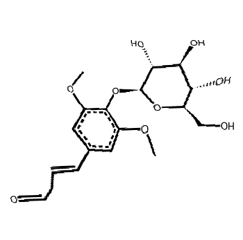 COc1cc(C=CC=O)cc(OC)c1O[C@@H]1O[C@H](CO)[C@@H](O)[C@H](O)[C@H]1O